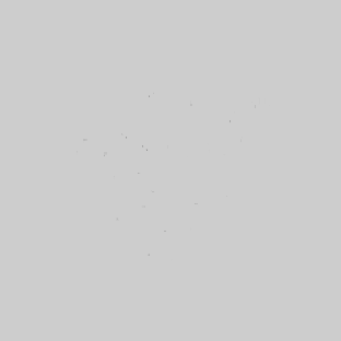 Cc1cc(F)cc(-c2cc(C(F)(F)F)nn2-c2cc(F)c(S(C)(=O)=O)cc2F)c1F